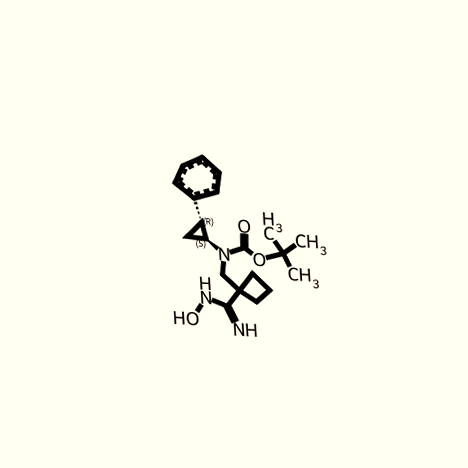 CC(C)(C)OC(=O)N(CC1(C(=N)NO)CCC1)[C@H]1C[C@@H]1c1ccccc1